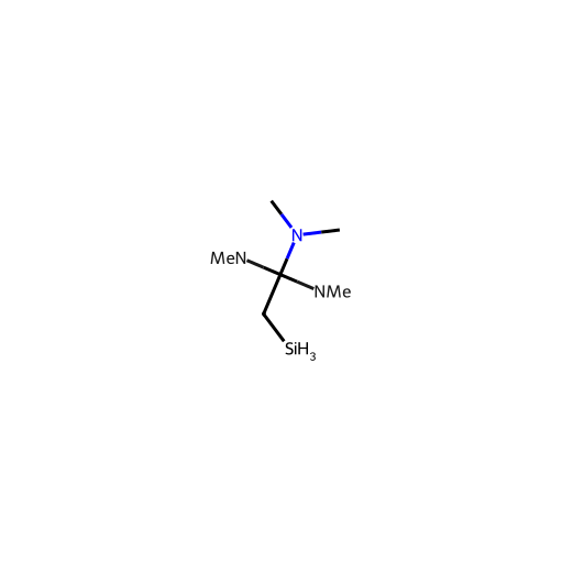 CNC(C[SiH3])(NC)N(C)C